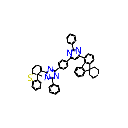 CC12C(c3nc(-c4ccccc4)nc(-c4ccc(-c5cc(-c6cccc7c6-c6ccccc6C76CCCCC6)nc(-c6ccccc6)n5)cc4)n3)=CC=CC1Sc1ccccc12